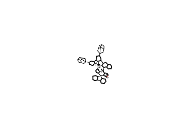 c1ccc2c(c1)-c1ccccc1C21c2ccccc2N2c3c(cccc31)B1c3c(cc4ccccc4c32)-c2cc(C34CC5CC(CC(C5)C3)C4)cc3c4cc(C56CC7CC(CC(C7)C5)C6)ccc4n1c23